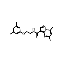 Cc1cc(C)cc(OCCNC(=O)c2cnn3c(C)cc(C)nc23)c1